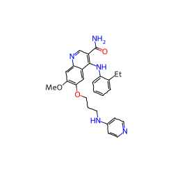 CCc1ccccc1Nc1c(C(N)=O)cnc2cc(OC)c(OCCCNc3ccncc3)cc12